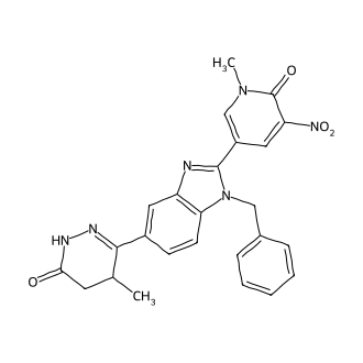 CC1CC(=O)NN=C1c1ccc2c(c1)nc(-c1cc([N+](=O)[O-])c(=O)n(C)c1)n2Cc1ccccc1